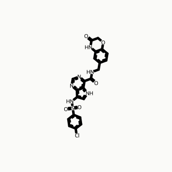 O=C1COc2ccc(CNC(=O)c3ncnc4c(NS(=O)(=O)c5ccc(Cl)cc5)c[nH]c34)cc2N1